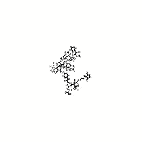 CC[C@H](C)[C@@H]([C@@H](CC(=O)N1CCC[C@H]1[C@H](OC)[C@@H](C)C(=O)N[C@H](C)[C@H](O)c1ccccc1)OC)N(C)C(=O)[C@@H](NC(=O)[C@H](C(C)C)N(C)C(=O)OCc1ccc(NC(=O)[C@H](CCCNC(N)=O)NC(=O)[C@@H](NC(=O)CCCCCN2C(=O)C=CC2=O)C(C)C)cc1)C(C)C